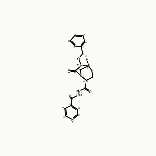 O=C(NNC(=O)[C@@H]1CC[C@@H]2CN1C(=O)N2OCc1ccccc1)c1ccncc1